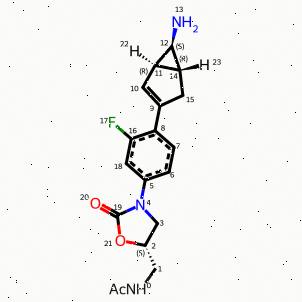 CC(=O)NC[C@H]1CN(c2ccc(C3=C[C@H]4[C@@H](N)[C@@H]4C3)c(F)c2)C(=O)O1